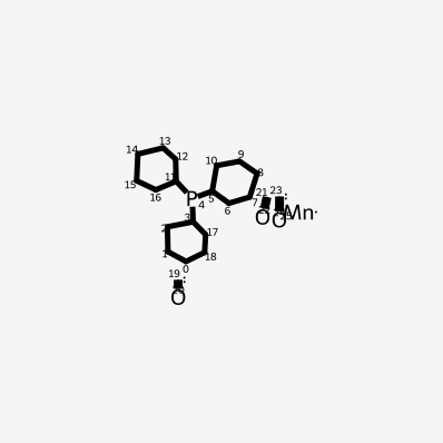 C1CCC(P(C2CCCCC2)C2CCCCC2)CC1.[C]=O.[C]=O.[C]=O.[Mn]